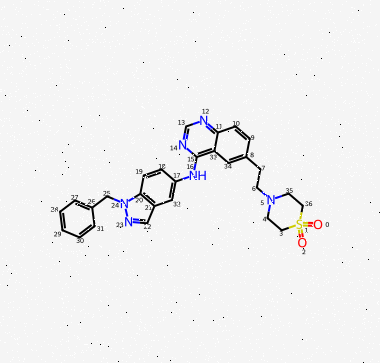 O=S1(=O)CCN(CCc2ccc3ncnc(Nc4ccc5c(cnn5Cc5ccccc5)c4)c3c2)CC1